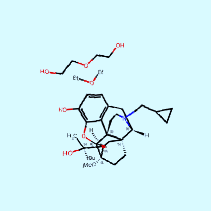 CCOCC.CO[C@@]12CC[C@@]3(C[C@@H]1[C@](C)(O)C(C)(C)C)[C@H]1Cc4ccc(O)c5c4[C@@]3(CCN1CC1CC1)[C@H]2O5.OCCOCCO